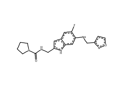 O=C(NCc1cc2cc(F)c(NCc3ccon3)cc2[nH]1)N1CCCC1